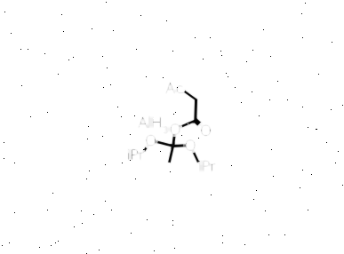 CC(=O)CC(=O)OC(C)(OC(C)C)OC(C)C.[AlH3]